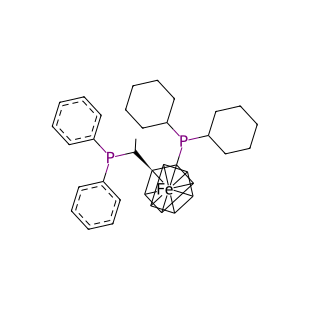 CC(P(c1ccccc1)c1ccccc1)[C@@]12[CH]3[CH]4[CH]5[C]1(P(C1CCCCC1)C1CCCCC1)[Fe]45321678[CH]2[CH]1[CH]6[CH]7[CH]28